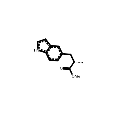 COC(=O)[C@@H](C)Cc1ccc2[nH]ccc2c1